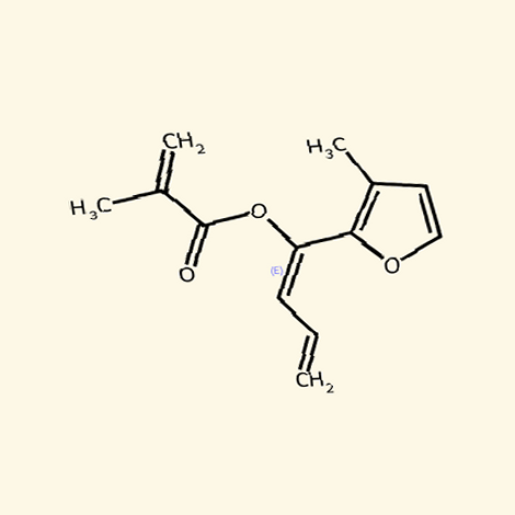 C=C/C=C(/OC(=O)C(=C)C)c1occc1C